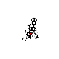 CC(C)n1nc(-c2cc(F)c(N)cc2F)c2c(N(C(=O)OC(C)(C)C)C(=O)OC(C)(C)C)ncc(C3=CCC4(CC3)OCCO4)c21